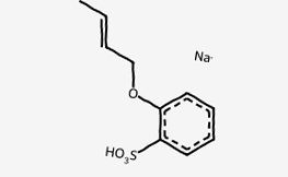 CC=CCOc1ccccc1S(=O)(=O)O.[Na]